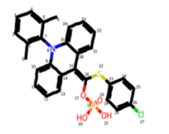 Cc1cccc(C)c1N1c2ccccc2C(=C(OP(=O)(O)O)Sc2ccc(Cl)cc2)c2ccccc21